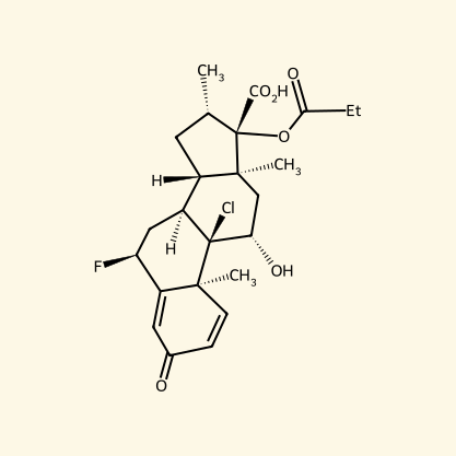 CCC(=O)O[C@@]1(C(=O)O)[C@@H](C)C[C@H]2[C@@H]3C[C@H](F)C4=CC(=O)C=C[C@]4(C)[C@@]3(Cl)[C@@H](O)C[C@@]21C